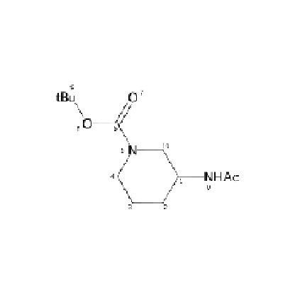 CC(=O)NC1CCCN(C(=O)OC(C)(C)C)C1